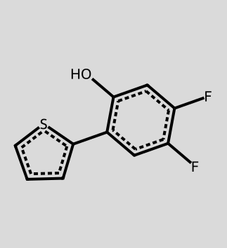 Oc1cc(F)c(F)cc1-c1cccs1